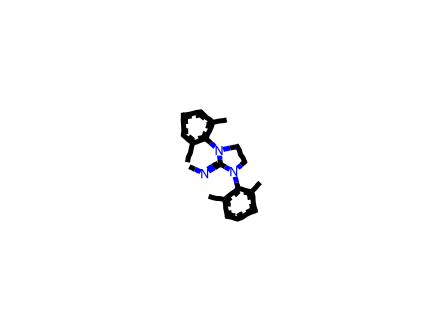 CN=C1N(c2c(C)cccc2C)CCN1c1c(C)cccc1C